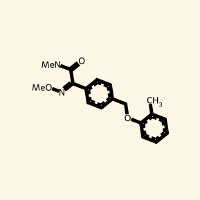 CNC(=O)C(=NOC)c1ccc(COc2ccccc2C)cc1